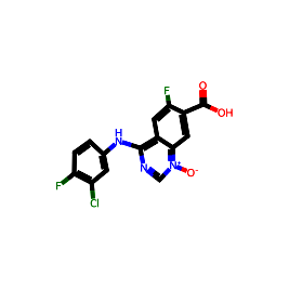 O=C(O)c1cc2c(cc1F)c(Nc1ccc(F)c(Cl)c1)nc[n+]2[O-]